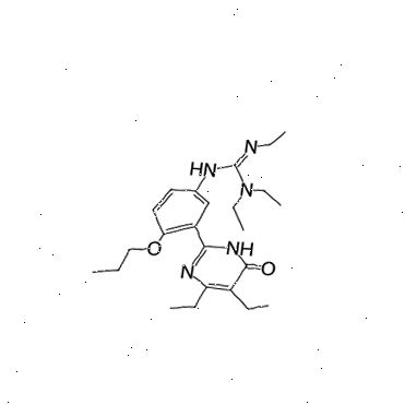 CCCOc1ccc(N/C(=N/CC)N(CC)CC)cc1-c1nc(CC)c(CC)c(=O)[nH]1